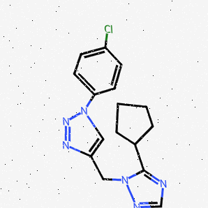 Clc1ccc(-n2cc(Cn3ncnc3C3CCCC3)nn2)cc1